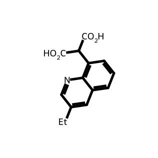 CCc1cnc2c(C(C(=O)O)C(=O)O)cccc2c1